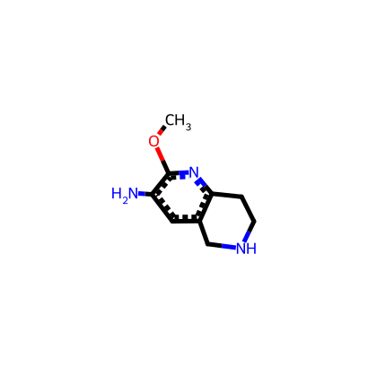 COc1nc2c(cc1N)CNCC2